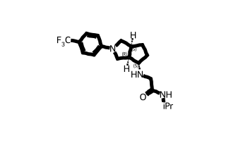 CC(C)NC(=O)CN[C@H]1CC[C@@H]2CN(c3ccc(C(F)(F)F)cc3)C[C@@H]21